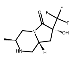 C[C@H]1CN2C(=O)[C@@](O)(C(F)(F)F)C[C@@H]2CN1